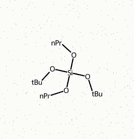 CCCO[Si](OCCC)(OC(C)(C)C)OC(C)(C)C